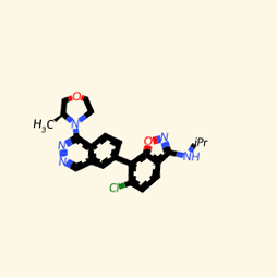 CC(C)Nc1noc2c(-c3ccc4c(N5CCOC[C@@H]5C)nncc4c3)c(Cl)ccc12